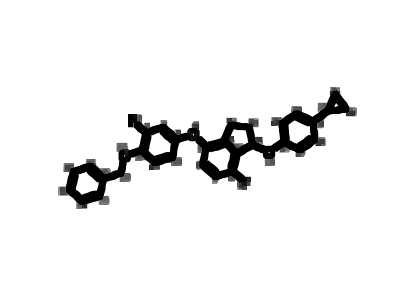 Fc1cc(Oc2ccc(F)c3c2CCC3Oc2ccc(C3CC3)cc2)ccc1OCc1ccccc1